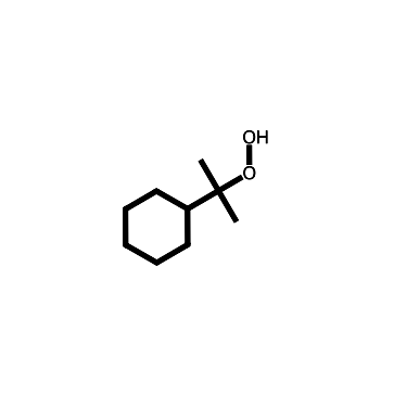 CC(C)(OO)C1CCCCC1